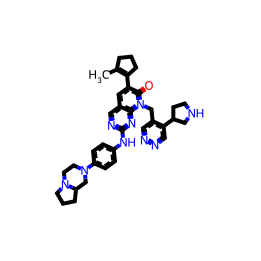 CC1=C(c2cc3cnc(Nc4ccc(N5CCN6CCCC6C5)cc4)nc3n(Cc3cnncc3C3CCNC3)c2=O)CCC1